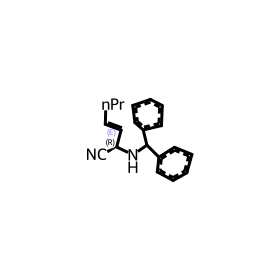 CCC/C=C/[C@H](C#N)NC(c1ccccc1)c1ccccc1